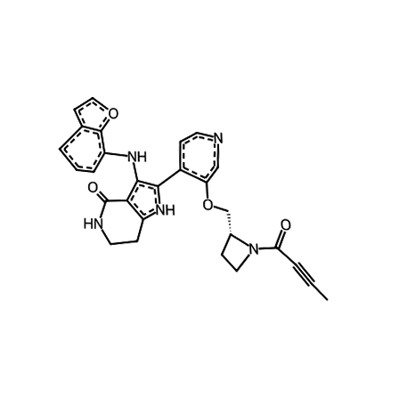 CC#CC(=O)N1CC[C@@H]1COc1cnccc1-c1[nH]c2c(c1Nc1cccc3ccoc13)C(=O)NCC2